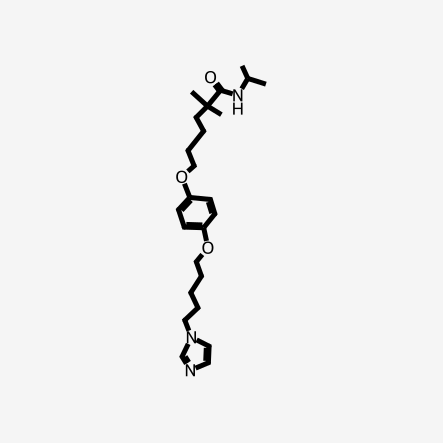 CC(C)NC(=O)C(C)(C)CCCCOc1ccc(OCCCCCn2ccnc2)cc1